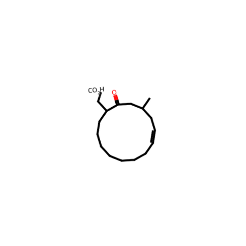 CC1CC=CCCCCCCCC(CC(=O)O)C(=O)C1